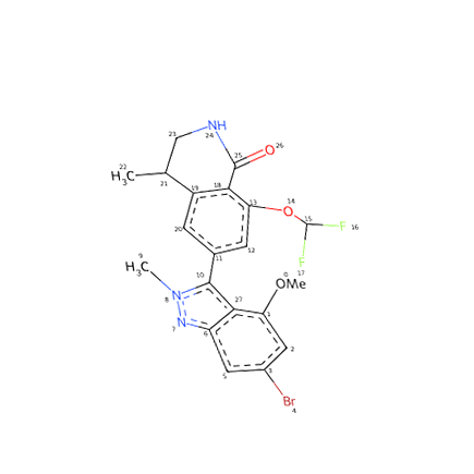 COc1cc(Br)cc2nn(C)c(-c3cc(OC(F)F)c4c(c3)C(C)CNC4=O)c12